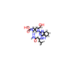 CNC(=O)CC(CC(C)C)Nc1nc(N2CC3(CC2CO)CN(C(=O)O)C3)nc2c1CCCC2